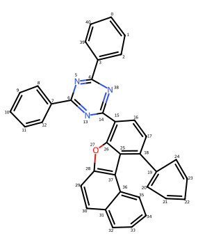 c1ccc(-c2nc(-c3ccccc3)nc(-c3ccc(-c4ccccc4)c4c3oc3ccc5ccccc5c34)n2)cc1